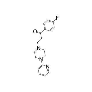 O=C(CCN1CCN(c2ccccn2)CC1)c1ccc(F)cc1